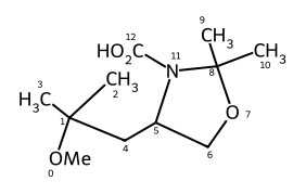 COC(C)(C)CC1COC(C)(C)N1C(=O)O